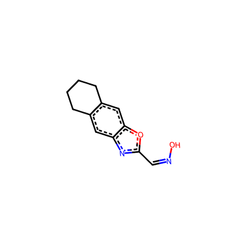 O/N=C\c1nc2cc3c(cc2o1)CCCC3